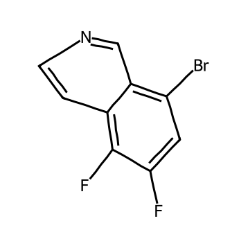 Fc1cc(Br)c2cnccc2c1F